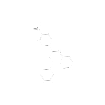 O=[N+]([O-])c1ccc(C2CC(c3ccccc3)N3C=CC=CC3=N2)cc1